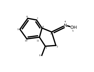 CC1C/C(=N\O)c2ccccc21